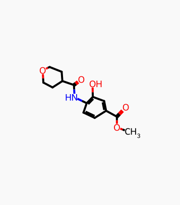 COC(=O)c1ccc(NC(=O)C2CCOCC2)c(O)c1